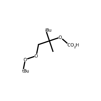 CCC(C)C(C)(COOC(C)(C)C)OC(=O)O